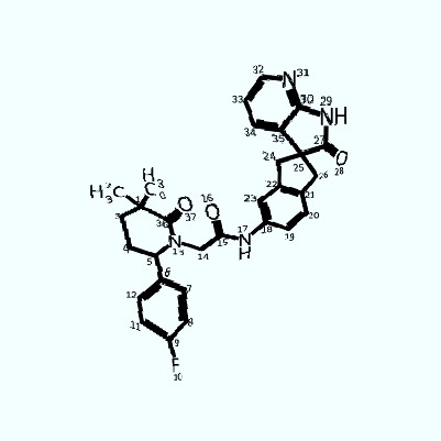 CC1(C)CCC(c2ccc(F)cc2)N(CC(=O)Nc2ccc3c(c2)CC2(C3)C(=O)Nc3ncccc32)C1=O